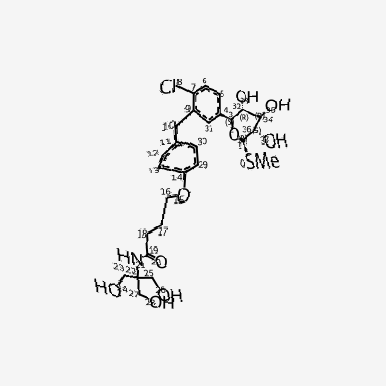 CS[C@H]1O[C@@H](c2ccc(Cl)c(Cc3ccc(OCCCC(=O)NC(CO)(CO)CO)cc3)c2)[C@H](O)[C@@H](O)[C@@H]1O